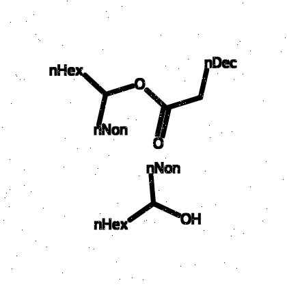 CCCCCCCCCC(O)CCCCCC.CCCCCCCCCCCC(=O)OC(CCCCCC)CCCCCCCCC